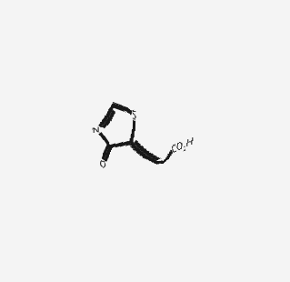 O=C(O)/C=C1\SC=NC1=O